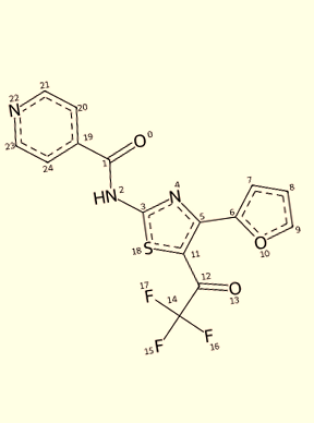 O=C(Nc1nc(-c2ccco2)c(C(=O)C(F)(F)F)s1)c1ccncc1